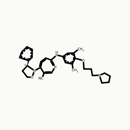 Cc1cc(NC2=NC=C(C#N)C(N3OCC[C@H]3c3ccccc3)=C=C2)cc(C)c1OCCCN1CCCC1